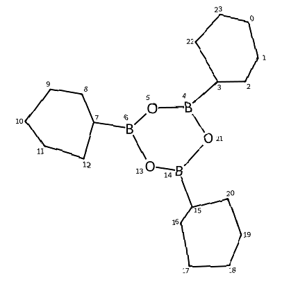 C1CCC(B2OB(C3CCCCC3)OB(C3CCCCC3)O2)CC1